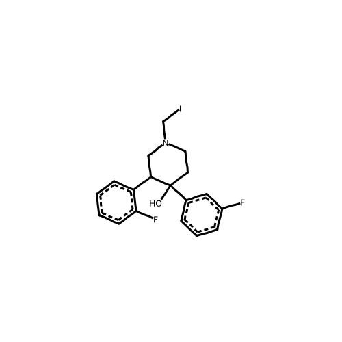 OC1(c2cccc(F)c2)CCN(CI)CC1c1ccccc1F